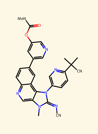 CNC(=O)Oc1cncc(-c2ccc3ncc4c(c3c2)n(-c2ccc(C(C)(C)C#N)nc2)c(=NC#N)n4C)c1